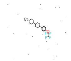 CCC1CCC(C2CCC(c3ccc(OC(F)(F)C(F)F)cc3)CC2)CC1